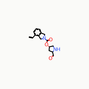 C=Cc1cccc2c1CN(C(=O)O[C@H]1CNC(C=O)C1)C2